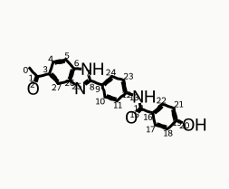 CC(=O)c1ccc2[nH]c(-c3ccc(NC(=O)c4ccc(O)cc4)cc3)nc2c1